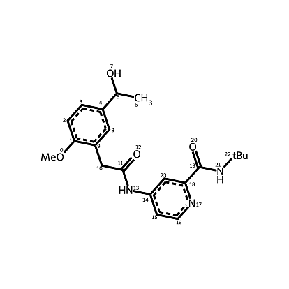 COc1ccc(C(C)O)cc1CC(=O)Nc1ccnc(C(=O)NC(C)(C)C)c1